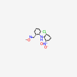 CON=Cc1ccccc1Nc1c(Cl)cccc1[N+](=O)[O-]